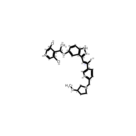 COC1CCN(Cc2ccc(/C(F)=C/c3n[nH]c4ccc(OC(C)c5c(Cl)cncc5Cl)cc34)cn2)C1